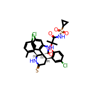 Cc1ccc(F)cc1[C@@H]1NC(=S)C[C@H](c2cc(Cl)ccc2OC(C)(C)C(=O)NS(=O)(=O)C2CC2)[C@@]12C(=O)Nc1cc(Cl)ccc12